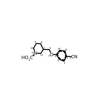 N#Cc1ccc(OCC2CCCN(C(=O)O)C2)cc1